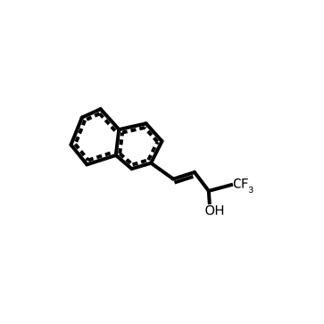 OC(/C=C/c1ccc2ccccc2c1)C(F)(F)F